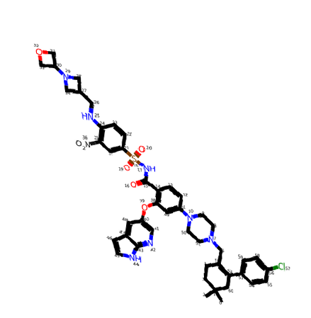 CC1(C)CCC(CN2CCN(c3ccc(C(=O)NS(=O)(=O)c4ccc(NCC5CN(C6COC6)C5)c([N+](=O)[O-])c4)c(Oc4cnc5[nH]ccc5c4)c3)CC2)=C(c2ccc(Cl)cc2)C1